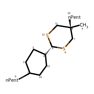 CCCCCC1CCC([C@H]2SC[C@](C)(CCCCC)CS2)CC1